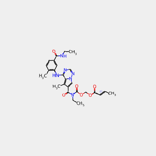 C/C=C/C(=O)OCOC(=O)N(CC)C(=O)c1cn2ncnc(Nc3cc(C(=O)NCC)ccc3C)c2c1C